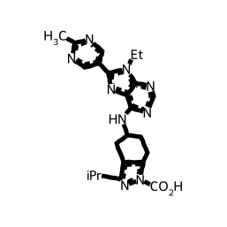 CCn1c(-c2cnc(C)nc2)nc2c(NC3CCc4c(c(C(C)C)nn4C(=O)O)C3)ncnc21